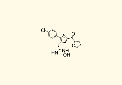 N=C(Cc1cc(C(=O)c2ccco2)sc1-c1ccc(Cl)cc1)NO